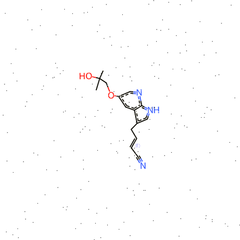 CC(C)(O)COc1cnc2[nH]cc(C/C=C/C#N)c2c1